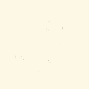 Cc1nnc(Sc2nc(C(F)(F)F)c(C(=O)O)s2)n1C